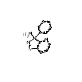 NC1(c2ccccc2)N=Nc2cccnc21